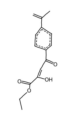 C=C(C)c1ccc(C(=O)C=C(O)C(=O)OCC)cc1